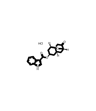 Cl.O=C(O[C@@H]1C[C@@H]2C[C@@H]3C[C@H](C1)N2CC3=O)c1c[nH]c2ccccc12